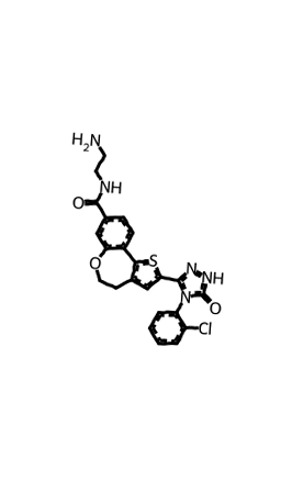 NCCNC(=O)c1ccc2c(c1)OCCc1cc(-c3n[nH]c(=O)n3-c3ccccc3Cl)sc1-2